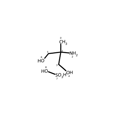 CC(N)(CO)CO.O=S(=O)(O)O